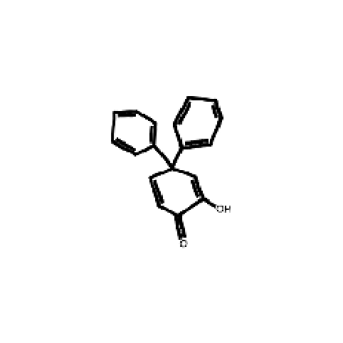 O=C1C=CC(c2ccccc2)(c2ccccc2)C=C1O